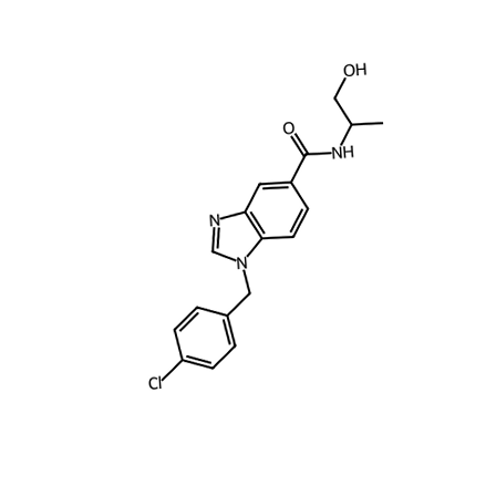 CC(CO)NC(=O)c1ccc2c(c1)ncn2Cc1ccc(Cl)cc1